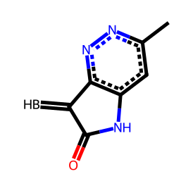 B=C1C(=O)Nc2cc(C)nnc21